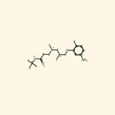 Cc1ccc(N)cc1OCC(C)CN(C)CCC(=O)OC(C)(C)C